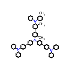 Cc1cccc(N(c2ccccc2)c2ccc(-c3ccc(N(c4ccc(-c5ccc(N(c6ccccc6)c6ccccc6)cc5)cc4)c4ccc(-c5ccc(N(c6ccccc6)c6ccccc6)cc5)cc4)c(C)c3)cc2C)c1